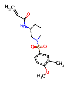 C=CC(=O)N[C@H]1CCCN(S(=O)(=O)c2ccc(OC)c(C)c2)C1